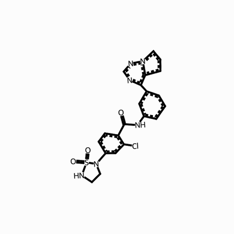 O=C(Nc1cccc(-c2ncnn3cccc23)c1)c1ccc(N2CCNS2(=O)=O)cc1Cl